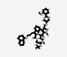 CCOC(=O)c1c(CCCOc2cccc3ccccc23)c2cccc(-c3c(COc4cnc(-c5ccccc5OC)nc4)nn(C)c3CBr)c2n1CCCN(C)C(=O)OC(C)(C)C